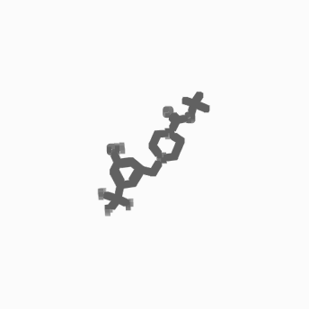 CC(C)(C)OC(=O)N1CCN(Cc2cc(O)cc(C(F)(F)F)c2)CC1